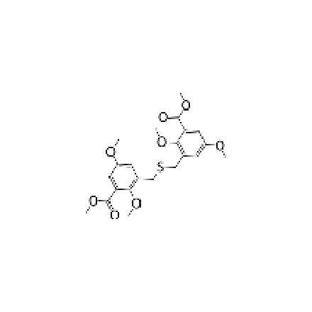 COC(=O)c1cc(OC)cc(CSCc2cc(OC)cc(C(=O)OC)c2OC)c1OC